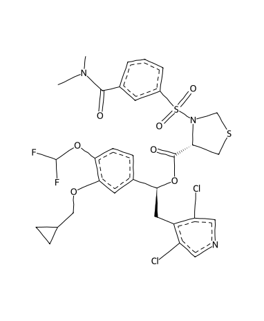 CN(C)C(=O)c1cccc(S(=O)(=O)N2CSC[C@@H]2C(=O)O[C@@H](Cc2c(Cl)cncc2Cl)c2ccc(OC(F)F)c(OCC3CC3)c2)c1